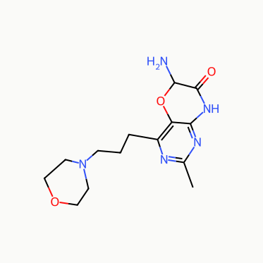 Cc1nc(CCCN2CCOCC2)c2c(n1)NC(=O)C(N)O2